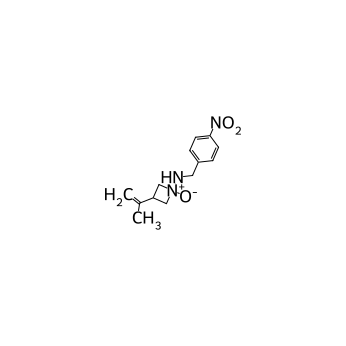 C=C(C)C1C[N+]([O-])(NCc2ccc([N+](=O)[O-])cc2)C1